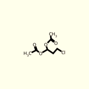 CC(=O)OC(CCCl)OC(C)=O